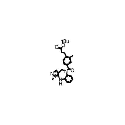 Cc1cc(C(=O)N2Cc3cnn(C)c3Nc3ccccc32)ccc1CCC(=O)OC(C)(C)C